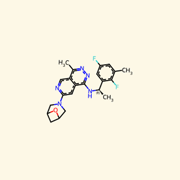 Cc1cc(F)cc([C@@H](C)Nc2nnc(C)c3cnc(N4CC5CC(C4)O5)cc23)c1F